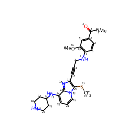 CNC(=O)c1ccc(NCC#Cc2nc3c(NC4CCNCC4)cccn3c2SC(F)(F)F)c(OC)c1